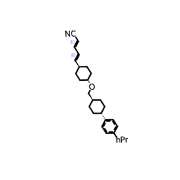 CCCc1ccc([C@H]2CC[C@H](CO[C@H]3CC[C@H](/C=C/C=C/C#N)CC3)CC2)cc1